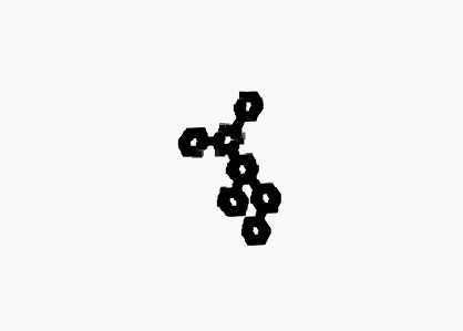 c1ccc(-c2cccc(-c3ccc(-c4nc(-c5cccnc5)nc(-c5ccccn5)n4)cc3-c3ccccc3)c2)cc1